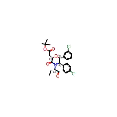 CC[C@@H](C=O)N1C(=O)[C@@H](CC(=O)OC(C)(C)C)O[C@H](c2cccc(Cl)c2)[C@H]1c1ccc(Cl)cc1